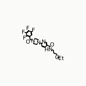 CCOCCCNC(=O)c1ccc(N2CCN(C(=O)c3cc(F)c(F)c(F)c3F)CC2)nc1